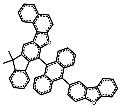 CC1(C)c2ccccc2-c2c1cc1c(oc3ccc4ccccc4c31)c2-c1c2ccccc2c(-c2ccc3oc4ccccc4c3c2)c2ccccc12